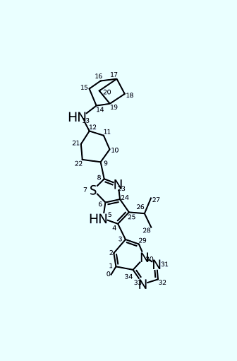 Cc1cc(-c2[nH]c3sc(C4CCC(NC5CCC6CC5C6)CC4)nc3c2C(C)C)cn2ncnc12